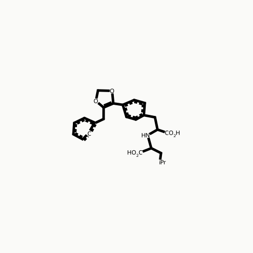 CC(C)CC(NC(Cc1ccc(C2=C(Cc3ccccc3)OCO2)cc1)C(=O)O)C(=O)O